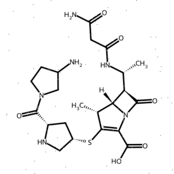 C[C@@H](NC(=O)CC(N)=O)[C@H]1C(=O)N2C(C(=O)O)=C(S[C@@H]3CN[C@H](C(=O)N4CCC(N)C4)C3)[C@H](C)[C@H]12